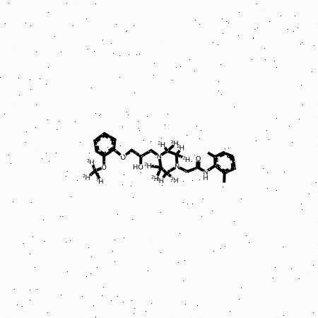 [2H]C([2H])([2H])Oc1ccccc1OCC(O)CN1C([2H])([2H])C([2H])([2H])N(CC(=O)Nc2c(C)cccc2C)C([2H])([2H])C1([2H])[2H]